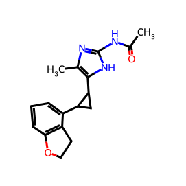 CC(=O)Nc1nc(C)c(C2CC2c2cccc3c2CCO3)[nH]1